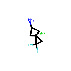 Cl.NC1CC2(C1)CC2(F)F